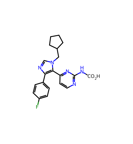 O=C(O)Nc1nccc(-c2c(-c3ccc(F)cc3)ncn2CC2CCCC2)n1